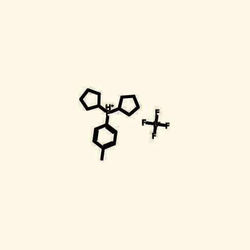 Cc1ccc([PH+](C2CCCC2)C2CCCC2)cc1.F[B-](F)(F)F